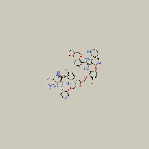 COc1c(Cl)cccc1Nc1c(-c2ccncc2OC[C@H]2CCC(COc3c(Cl)cccc3Nc3c(-c4ccncc4OCC4CCCO4)[nH]c4c3C(=O)NC[C@@]43CCCNC3)O2)[nH]c2c1C(=O)NC[C@]21CCCNC1